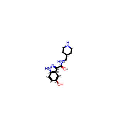 O=C(NCC1CCNCC1)c1n[nH]c2ccc(O)cc12